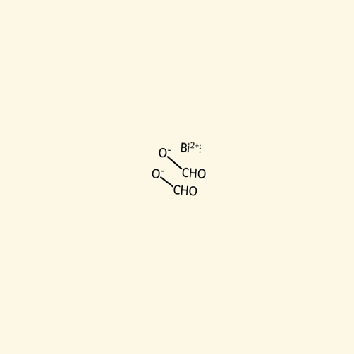 O=C[O-].O=C[O-].[Bi+2]